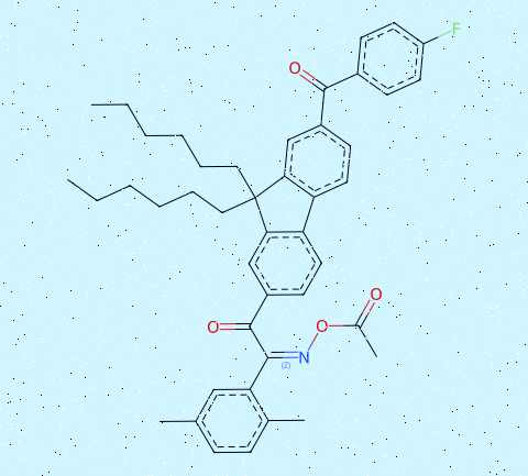 CCCCCCC1(CCCCCC)c2cc(C(=O)/C(=N\OC(C)=O)c3cc(C)ccc3C)ccc2-c2ccc(C(=O)c3ccc(F)cc3)cc21